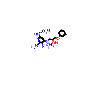 CCOC(=O)Nc1cc(N(C)CC(O)COc2ccccc2)c(N)c(N)n1